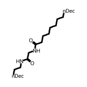 CCCCCCCCCCCCCCCCCC(=O)NCC(=O)NCCCCCCCCCCCC